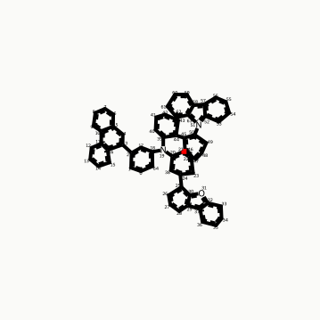 c1cc(-c2cc3ccccc3c3ccccc23)cc(N(c2cccc(-c3cccc4c3oc3ccccc34)c2)c2ccccc2-c2ccccc2-n2c3ccccc3c3ccccc32)c1